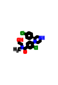 CN(CCO)C(=O)c1ccc(N2CCNC[C@H]2c2ccc(Cl)cc2)c(Cl)c1